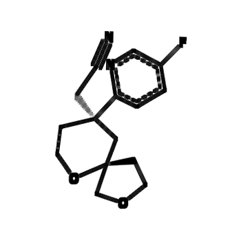 N#CC[C@@]1(c2ccc(F)cn2)CCO[C@]2(CCOC2)C1